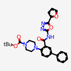 CC(C)(C)OC(=O)N1CCN(c2ccc(-c3ccccc3)cc2C(=O)Nc2nnc(-c3ccco3)o2)CC1